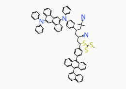 CSC(=S)SC(CC(C#N)CC(CC(C)(C)C#N)c1ccc(N(c2ccccc2)c2cc3c4ccccc4c(N(c4ccccc4)c4ccccc4)cc3c3ccccc23)cc1)c1ccc(-c2c3ccccc3c(-c3cccc4ccccc34)c3ccccc23)cc1